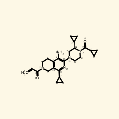 C=CC(=O)N1CCc2c(N)c(N3CCN(C(=O)C4CC4)[C@H](C4CC4)C3)nc(C3CC3)c2C1